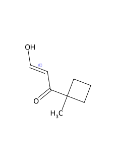 CC1(C(=O)/C=C/O)CCC1